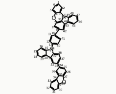 c1ccc2c(c1)Oc1cc(-c3ccc(-n4c5ccccc5c5cc(-c6ccc7oc8ccccc8c7c6)ccc54)cc3)cc3c4ccccc4n-2c13